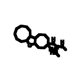 BC1(BN(BC)BC)CCCC2C(CC1)OC1CCCCCCCC12